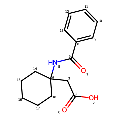 O=C(O)CC1(NC(=O)c2ccccc2)CCCCC1